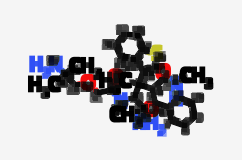 CNC(=O)C(Cc1ccccc1)C(C)(c1csc2ccccc12)C(C(N)=O)N(C)C(=O)COCC(C)(C)N